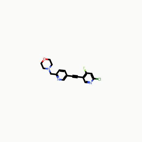 Fc1cc(Cl)ncc1C#Cc1ccc(CN2CCOCC2)nc1